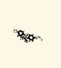 CCc1ccc(OS(=O)(=O)c2ccc(C)cc2)c(O)c1